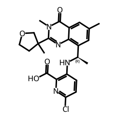 Cc1cc([C@@H](C)Nc2ccc(Cl)nc2C(=O)O)c2nc(C3(C)CCOC3)n(C)c(=O)c2c1